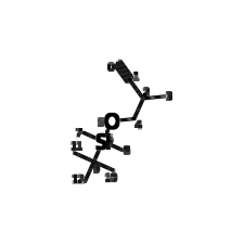 C#CC(C)CO[Si](C)(C)C(C)(C)C